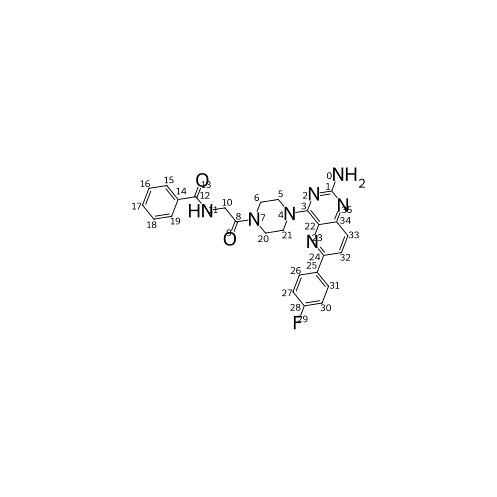 Nc1nc(N2CCN(C(=O)CNC(=O)c3ccccc3)CC2)c2nc(-c3ccc(F)cc3)ccc2n1